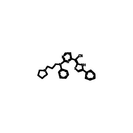 N#CC(=C1NC(c2ccccc2)=CS1)c1ccnc(N(CCCN2CCCC2)c2ccccc2)n1